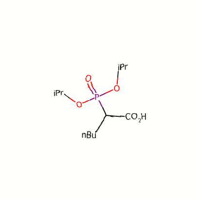 CCCCC(C(=O)O)P(=O)(OC(C)C)OC(C)C